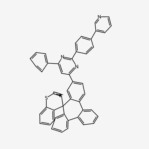 c1ccc(-c2cc(-c3ccc4c(c3)C3(c5ccccc5Sc5ccccc53)c3ccccc3-c3ccccc3-4)nc(-c3ccc(-c4cccnc4)cc3)n2)cc1